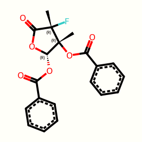 C[C@]1(F)C(=O)O[C@@H](OC(=O)c2ccccc2)[C@@]1(C)OC(=O)c1ccccc1